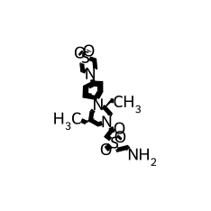 CC[C@@H]1CN(C(=O)CS(=O)(=O)CCN)C[C@H](CC)N(c2ccc(N3CCS(=O)(=O)CC3)cc2)C1